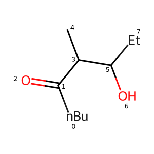 CCCCC(=O)C(C)C(O)CC